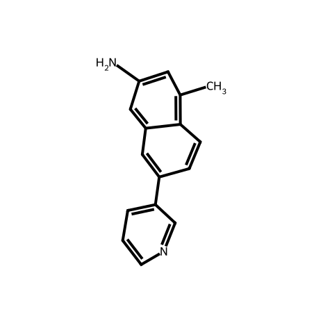 Cc1cc(N)cc2cc(-c3cccnc3)ccc12